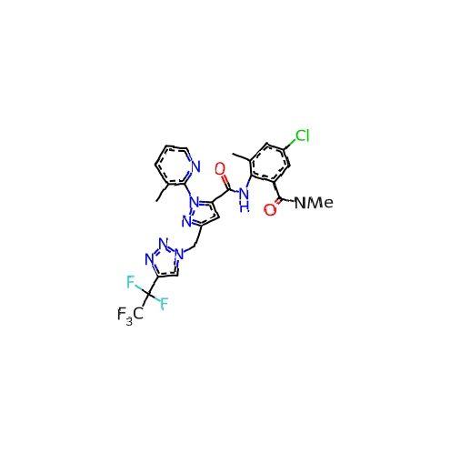 CNC(=O)c1cc(Cl)cc(C)c1NC(=O)c1cc(Cn2cc(C(F)(F)C(F)(F)F)nn2)nn1-c1ncccc1C